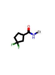 CCNC(=O)C1CCC(F)(F)C1